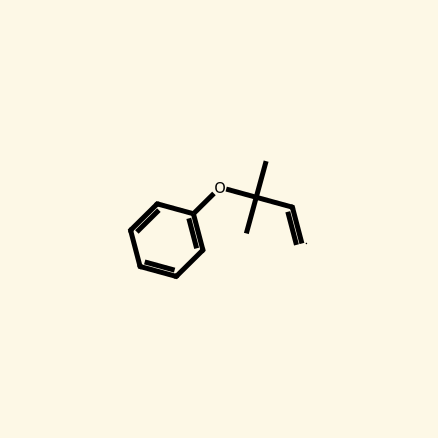 [CH]=CC(C)(C)Oc1ccccc1